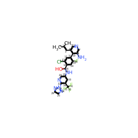 CC(C)=Cc1cncc(N)c1-c1cc(Cl)c(C(O)Nc2cnc(-n3nccn3)c(C(F)(F)F)c2)cc1F